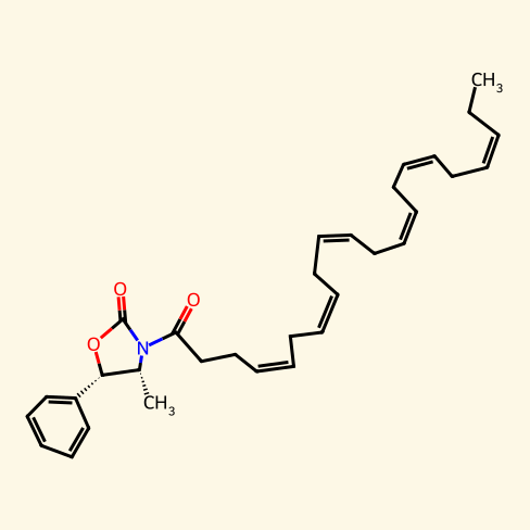 CC/C=C\C/C=C\C/C=C\C/C=C\C/C=C\C/C=C\CCC(=O)N1C(=O)O[C@@H](c2ccccc2)[C@H]1C